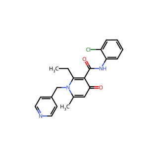 CCc1c(C(=O)Nc2ccccc2Cl)c(=O)cc(C)n1Cc1ccncc1